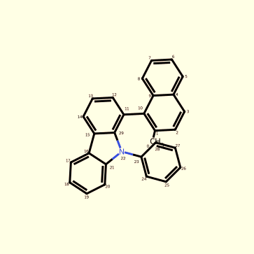 Cc1ccc2ccccc2c1-c1cccc2c3ccccc3n(-c3ccccc3)c12